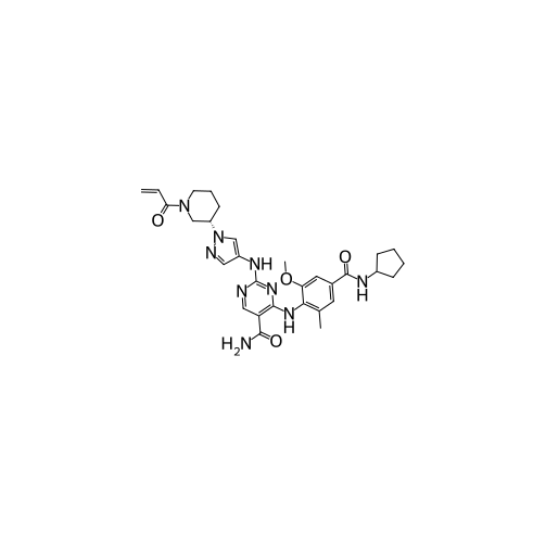 C=CC(=O)N1CCC[C@H](n2cc(Nc3ncc(C(N)=O)c(Nc4c(C)cc(C(=O)NC5CCCC5)cc4OC)n3)cn2)C1